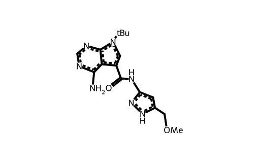 COCc1cc(NC(=O)c2cn(C(C)(C)C)c3ncnc(N)c23)n[nH]1